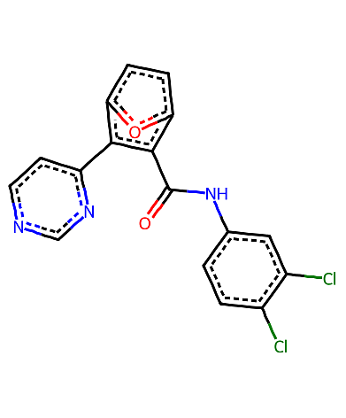 O=C(Nc1ccc(Cl)c(Cl)c1)c1c(-c2ccncn2)c2ccc1o2